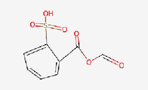 O=COC(=O)c1ccccc1S(=O)(=O)O